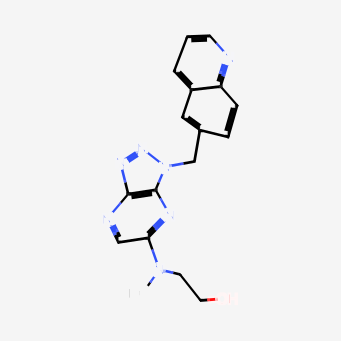 CN(CCO)c1cnc2nnn(Cc3ccc4ncccc4c3)c2n1